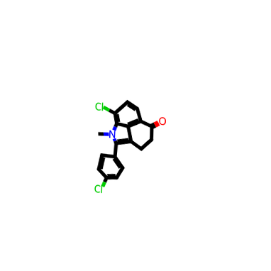 Cn1c(-c2ccc(Cl)cc2)c2c3c(ccc(Cl)c31)C(=O)CC2